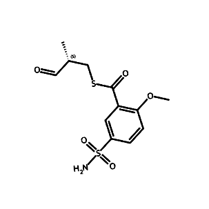 COc1ccc(S(N)(=O)=O)cc1C(=O)SC[C@@H](C)C=O